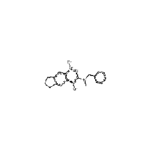 CN(Cc1ccccc1)c1n[n+]([O-])c2cc3c(cc2[n+]1[O-])CCC3